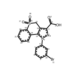 O=C(O)c1nn(-c2cccc(Br)c2)c2c1CS(=O)(=O)c1ccccc1-2